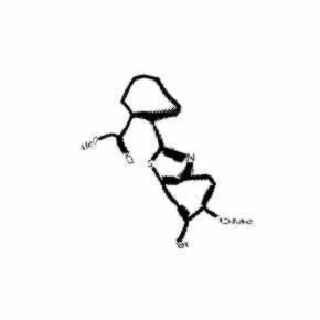 COC(=O)C1CCCC[C@H]1c1nc2cc(OC)c(Br)cc2s1